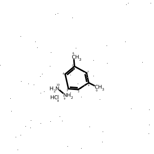 Cc1cccc(C)c1.Cl.NN